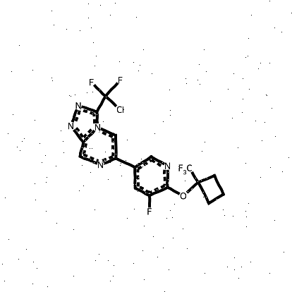 Fc1cc(-c2cn3c(C(F)(F)Cl)nnc3cn2)cnc1OC1(C(F)(F)F)CCC1